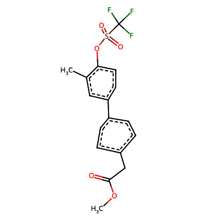 COC(=O)Cc1ccc(-c2ccc(OS(=O)(=O)C(F)(F)F)c(C)c2)cc1